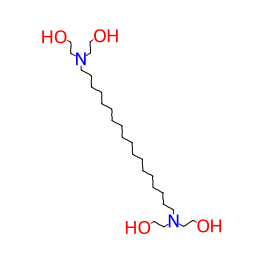 OCCN(CCO)CCCCCCCCCCCCCCCCCCN(CCO)CCO